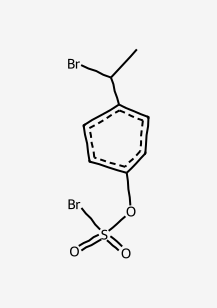 CC(Br)c1ccc(OS(=O)(=O)Br)cc1